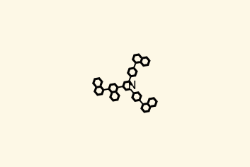 c1ccc2c(-c3ccc(-c4cc(-c5ccc(-c6cccc7ccccc67)c6ccccc56)cc(-c5ccc(-c6cccc7ccccc67)cc5)n4)cc3)cccc2c1